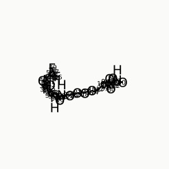 O=C1CCC(N2C(=O)c3ccc(C#CCOCCOCCOCCOCCNC(=O)c4cc5cc(N6CC[C@H](C(=O)NCc7cc(F)cc(F)c7)C6=O)ccc5[nH]4)cc3C2=O)C(=O)N1